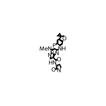 CNc1cc(Nc2cc3c(cc2F)C2(CC2)CO3)nc2c(C(=O)N[C@@H]3CCN(C)C3=O)cnn12